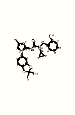 Cc1cn(-c2ccc3c(c2)OC(F)(F)O3)c(=NC(=O)N(Cc2ccccc2F)C2CC2)s1